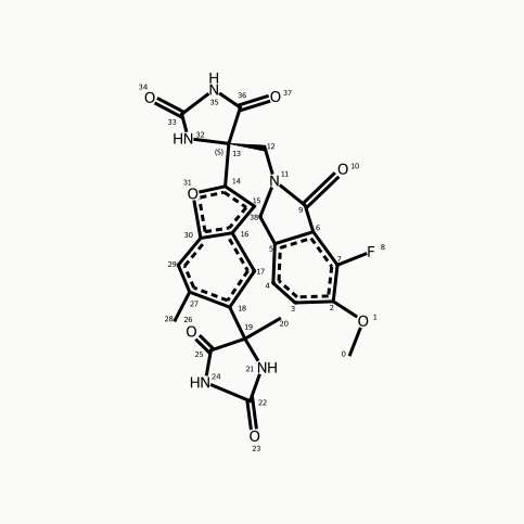 COc1ccc2c(c1F)C(=O)N(C[C@@]1(c3cc4cc(C5(C)NC(=O)NC5=O)c(C)cc4o3)NC(=O)NC1=O)C2